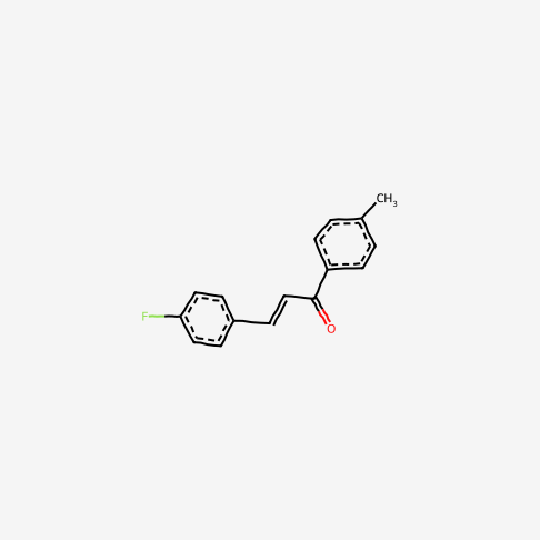 Cc1ccc(C(=O)C=Cc2ccc(F)cc2)cc1